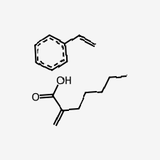 C=C(CCCCC)C(=O)O.C=Cc1ccccc1